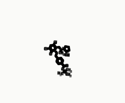 CN(Cc1c(Cl)cc(Cl)c(=O)n1CCc1ccc(C(=O)OC(C)(C)C)cc1)[C@H]1CCC[C@@H]1O